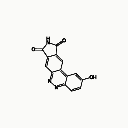 O=C1NC(=O)c2cc3c(cc21)nnc1ccc(O)cc13